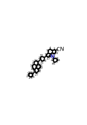 N#Cc1cc2ccc3cc(-c4ccc(-c5ccc6ccc7c(-c8ccccc8)ccc8ccc5c6c87)cc4)cc4c3c2c(c1)n4-c1ccccc1